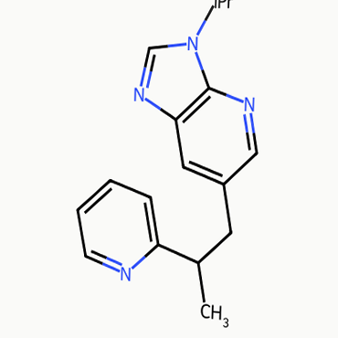 CC(Cc1cnc2c(c1)ncn2C(C)C)c1ccccn1